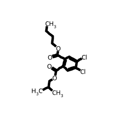 CCCCOC(=O)c1cc(Cl)c(Cl)cc1C(=O)OCC(C)C